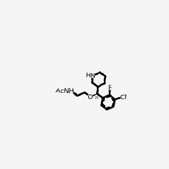 CC(=O)NCCO[C@H](c1cccc(Cl)c1F)C1CCCNC1